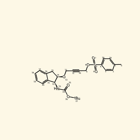 Cc1ccc(S(=O)(=O)OCC#CCO[C@@H]2Cc3ccccc3[C@@H]2NC(=O)OC(C)(C)C)cc1